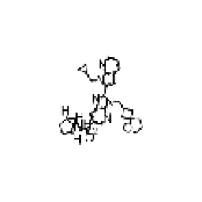 N[C@@H]1[C@@H]2CC[C@H]1N(C(=O)c1cnc3c(c1)nc(-c1cc4cccnc4n1CC1CC1)n3CC1CC3(CCCO3)C1)C2